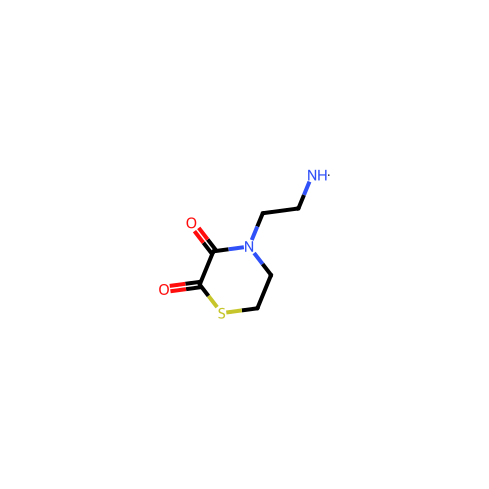 [NH]CCN1CCSC(=O)C1=O